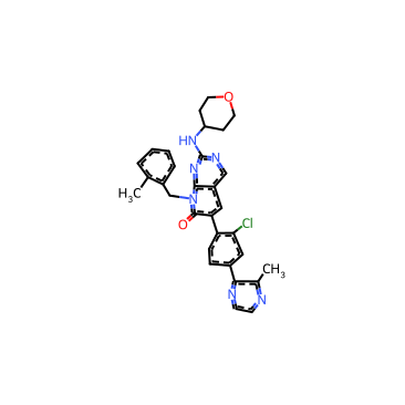 Cc1ccccc1Cn1c(=O)c(-c2ccc(-c3nccnc3C)cc2Cl)cc2cnc(NC3CCOCC3)nc21